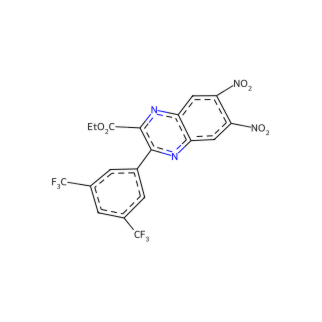 CCOC(=O)c1nc2cc([N+](=O)[O-])c([N+](=O)[O-])cc2nc1-c1cc(C(F)(F)F)cc(C(F)(F)F)c1